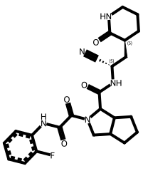 N#C[C@H](C[C@@H]1CCCNC1=O)NC(=O)C1C2CCCC2CN1C(=O)C(=O)Nc1ccccc1F